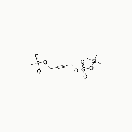 C[Si](C)(C)OS(=O)(=O)OCC#CCOS(C)(=O)=O